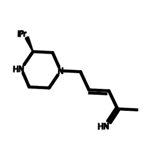 CC(=N)/C=C/CN1CCN[C@@H](C(C)C)C1